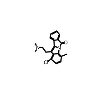 Cc1ccc(Cl)c2c(CCN(C)C)c3n(c12)C(=O)c1ccccc1-3